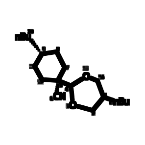 CCCCC1COC([C@]2(C#N)CC[C@@H](CCCC)CC2)OC1